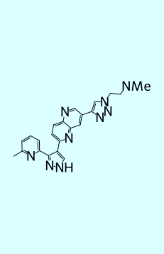 CNCCn1cc(-c2cnc3ccc(-c4c[nH]nc4-c4cccc(C)n4)nc3c2)nn1